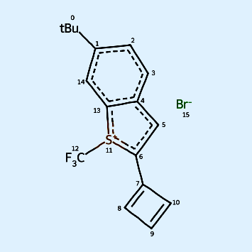 CC(C)(C)c1ccc2cc(C3=CC=C3)[s+](C(F)(F)F)c2c1.[Br-]